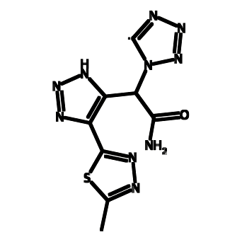 Cc1nnc(-c2nn[nH]c2C(C(N)=O)n2[c]nnn2)s1